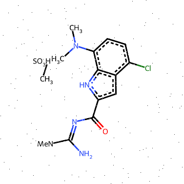 CNC(N)=NC(=O)c1cc2c(Cl)ccc(N(C)C)c2[nH]1.CS(=O)(=O)O